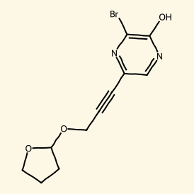 Oc1ncc(C#CCOC2CCCO2)nc1Br